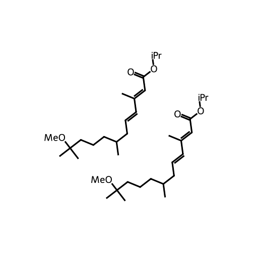 COC(C)(C)CCCC(C)C/C=C/C(C)=C/C(=O)OC(C)C.COC(C)(C)CCCC(C)C/C=C/C(C)=C/C(=O)OC(C)C